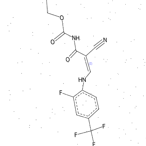 CCOC(=O)NC(=O)/C(C#N)=C\Nc1ccc(C(F)(F)F)cc1F